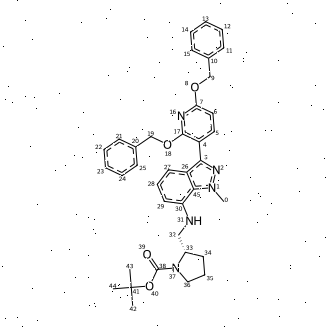 Cn1nc(-c2ccc(OCc3ccccc3)nc2OCc2ccccc2)c2cccc(NC[C@@H]3CCCN3C(=O)OC(C)(C)C)c21